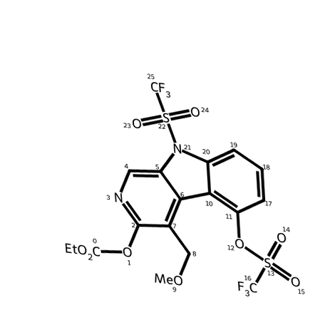 CCOC(=O)Oc1ncc2c(c1COC)c1c(OS(=O)(=O)C(F)(F)F)cccc1n2S(=O)(=O)C(F)(F)F